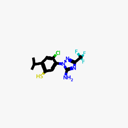 CC(C)c1cc(Cl)c(-n2nc(C(F)(F)F)nc2N)cc1S